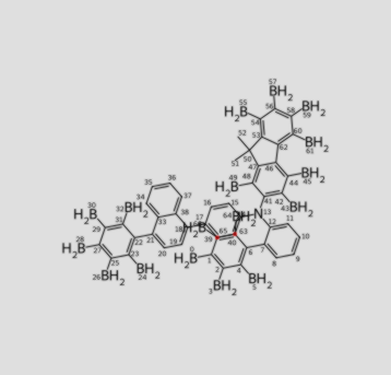 Bc1c(B)c(B)c(-c2ccccc2N(c2ccc(-c3ccc(-c4c(B)c(B)c(B)c(B)c4B)c4ccccc34)cc2)c2c(B)c(B)c3c(c2B)C(C)(C)c2c(B)c(B)c(B)c(B)c2-3)c(B)c1B